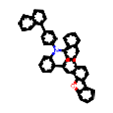 c1ccc(N(c2ccc(-c3cccc4ccccc34)cc2)c2cccc3ccccc23)c(-c2ccc3ccc4c5ccccc5oc4c3c2)c1